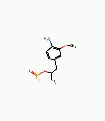 COc1cc(CC(C)O[PH2]=O)ccc1N